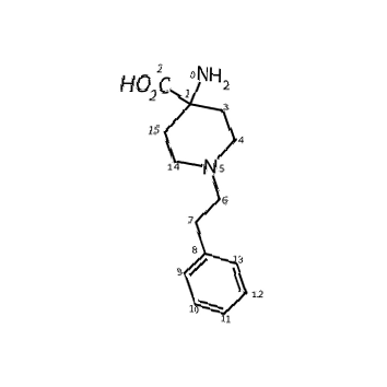 NC1(C(=O)O)CCN(CCc2ccccc2)CC1